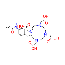 C=CC(=O)Nc1ccc(CC2CN(CC(=O)O)CCN(CC(=O)O)CCN(CC(=O)O)CCN2CC(=O)O)cc1